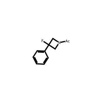 CC(=O)N1CC(F)(c2ccccc2)C1